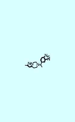 Cc1cc2n(n1)CCN(C(C)c1ccc3nsnc3c1)CC2